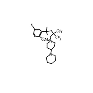 COc1ccc(F)cc1C(C)(C)CC(O)(CN1CCC(N2CCCCC2)CC1)C(F)(F)F